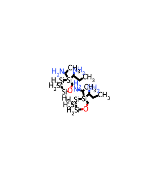 CCC(N)[Si]1(C(C)N)CO[SiH2][SiH2][SiH2]1.CCC(N)[Si]1(C(C)N)CO[SiH2][SiH2][SiH2]1